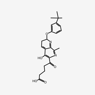 Cc1nc(C(=O)CCCC(=O)O)c(O)c2c1=NC(Oc1cccc(C(C)(C)C)c1)CC=2